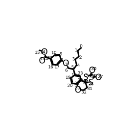 CCCCCC(COc1ccc(C(=O)OC)cc1)c1ccc2c(c1)C(SC=O)(SC=O)CCO2